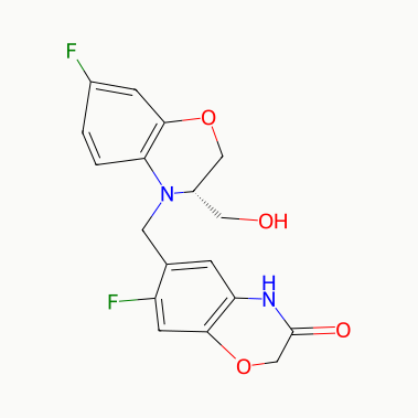 O=C1COc2cc(F)c(CN3c4ccc(F)cc4OC[C@@H]3CO)cc2N1